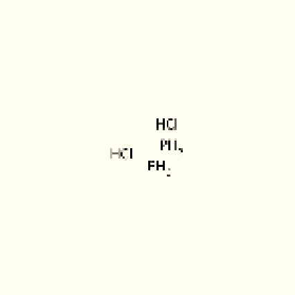 Cl.Cl.P.P